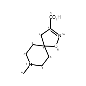 CN1CCC2(CC1)CC(C(=O)O)=NO2